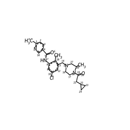 Cc1ccc(C(=O)Nc2cc(Cl)cc(CN3CCN(C(=O)CC4CC4)C(C)C3)c2C)cn1